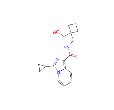 O=C(NCC1(CO)CCC1)c1nc(C2CC2)n2ccccc12